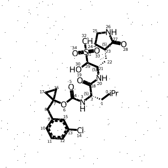 CC(C)C[C@H](NC(=O)OC1(Cc2cccc(Cl)c2)CC1)C(=O)N[C@@H](C[C@@H]1CCNC1=O)C(O)S(C)(=O)=O